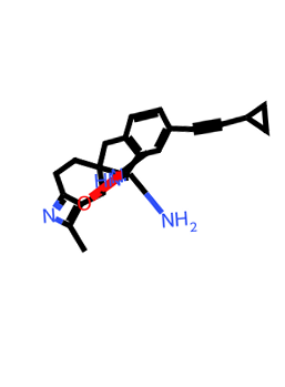 CC1=C2CC3(CCC2=N1)Cc1ccc(C#CC2CC2)cc1C31N=C(N)NC1=O